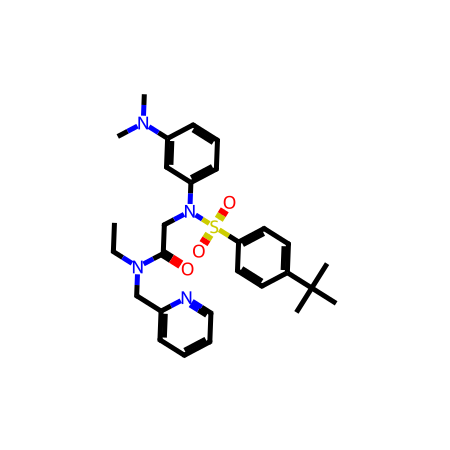 CCN(Cc1ccccn1)C(=O)CN(c1cccc(N(C)C)c1)S(=O)(=O)c1ccc(C(C)(C)C)cc1